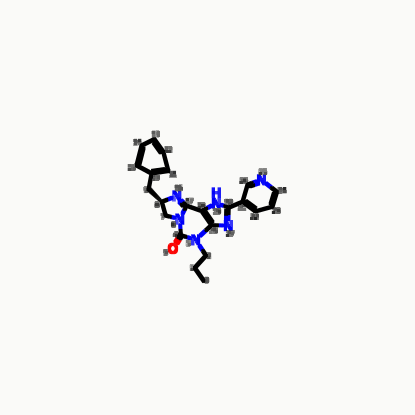 CCCN1C(=O)N2C[C@@H](Cc3ccccc3)N=C2c2[nH]c(-c3cccnc3)nc21